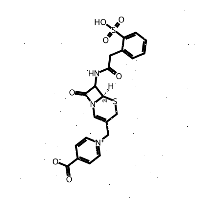 O=C(Cc1ccccc1S(=O)(=O)O)NC1C(=O)N2C=C(C[n+]3ccc(C(=O)[O-])cc3)CS[C@H]12